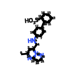 Cc1cc(CNc2ccc(-c3ccccc3S(=O)(=O)O)cc2)n2nccc2n1